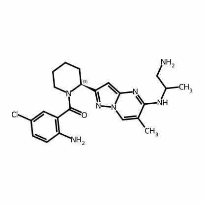 Cc1cn2nc([C@@H]3CCCCN3C(=O)c3cc(Cl)ccc3N)cc2nc1NC(C)CN